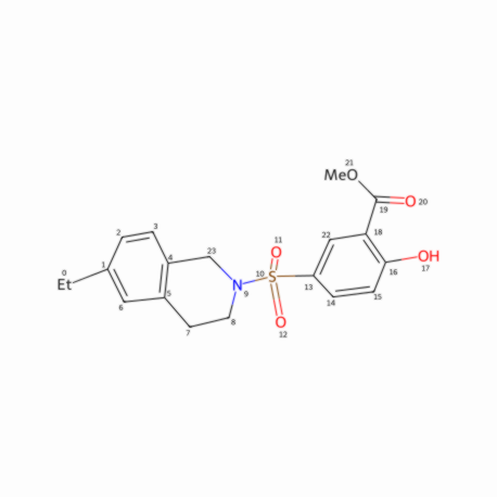 CCc1ccc2c(c1)CCN(S(=O)(=O)c1ccc(O)c(C(=O)OC)c1)C2